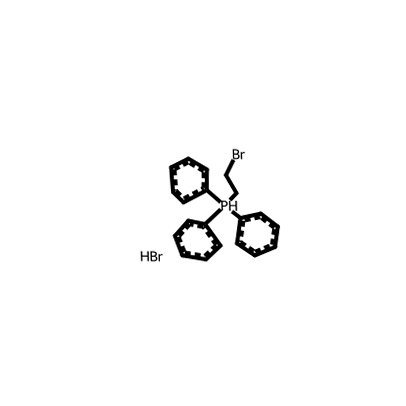 Br.BrCC[PH](c1ccccc1)(c1ccccc1)c1ccccc1